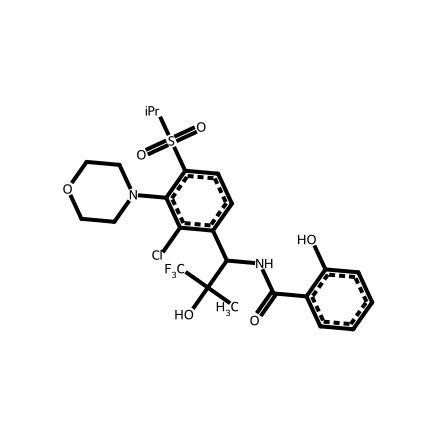 CC(C)S(=O)(=O)c1ccc(C(NC(=O)c2ccccc2O)C(C)(O)C(F)(F)F)c(Cl)c1N1CCOCC1